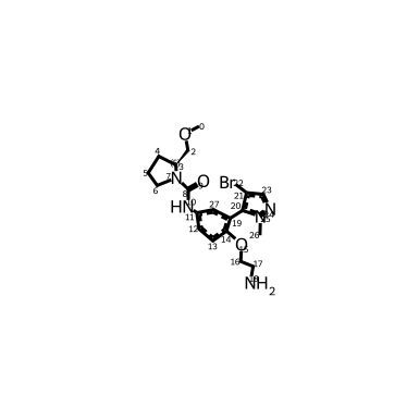 COC[C@@H]1CCCN1C(=O)Nc1ccc(OCCN)c(-c2c(Br)cnn2C)c1